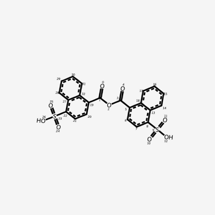 O=C(OC(=O)c1ccc(S(=O)(=O)O)c2ccccc12)c1ccc(S(=O)(=O)O)c2ccccc12